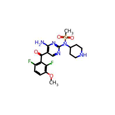 COc1ccc(F)c(C(=O)c2cnc(N(C3CCNCC3)S(C)(=O)=O)nc2N)c1F